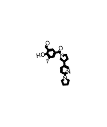 O=Cc1cc(C(=O)N2CCC(c3ccc(N4CCCC4)nc3)C2)cc(F)c1O